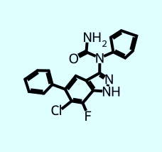 NC(=O)N(c1ccccc1)c1n[nH]c2c(F)c(Cl)c(-c3ccccc3)cc12